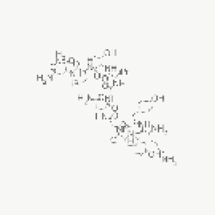 CC(C)CC(NC(=O)C(NC(=O)C(NC(=O)CNC(=O)C(CC(N)=O)NC(=O)CNC(=O)C(Cc1ccc(O)cc1)NC(=O)C(Cc1ccc(O)cc1)NC(=O)C(N)CCCCN)C(C)C)[C@@H](C)O)C(=O)NC(CC(N)=O)C(N)=O